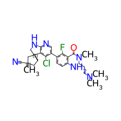 CN(C)CCCN(C)C(=O)c1c(N)ccc(-c2cnc3c(c2Cl)[C@@]2(CC[C@](C)(C#N)C2)CN3)c1F